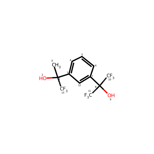 CC(O)(c1cccc(C(O)(C(F)(F)F)C(F)(F)F)c1)C(F)(F)F